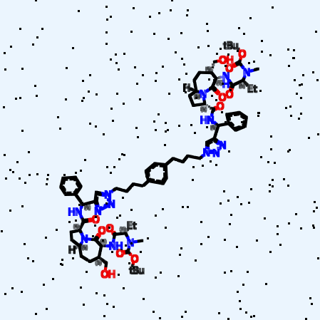 CC[C@@H](C(=O)N[C@@H]1C(=O)N2[C@@H](CC[C@@H]1CO)CC[C@H]2C(=O)N[C@@H](c1ccccc1)c1cn(CCCCc2ccc(CCCCn3cc([C@@H](NC(=O)[C@@H]4CC[C@@H]5CC[C@H](CO)[C@H](NC(=O)[C@H](CC)N(C)C(=O)OC(C)(C)C)C(=O)N54)c4ccccc4)nn3)cc2)nn1)N(C)C(=O)OC(C)(C)C